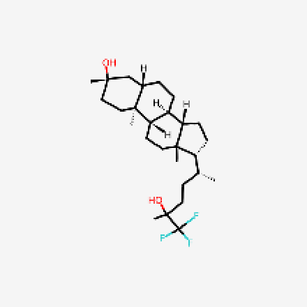 C[C@H](CCC(C)(O)C(F)(F)F)[C@H]1CC[C@H]2[C@@H]3CC[C@H]4C[C@@](C)(O)CC[C@]4(C)[C@H]3CCC12C